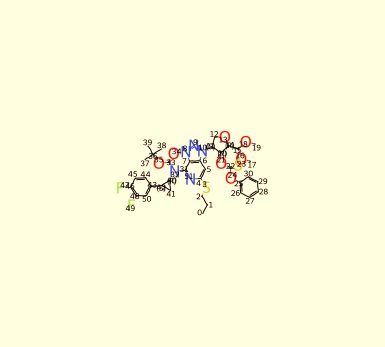 CCCSc1cc2c(nnn2[C@H]2CO[C@@H](C(OC)OC)[C@@H]2OC(=S)Oc2ccccc2)c(N(C(=O)OC(C)(C)C)[C@@H]2C[C@H]2c2ccc(F)c(F)c2)n1